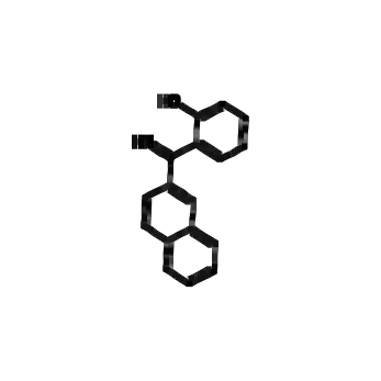 N=C(c1ccc2ccccc2c1)c1ccccc1O